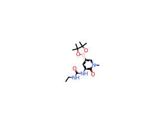 CCNC(=O)Nc1cc(B2OC(C)(C)C(C)(C)O2)cn(C)c1=O